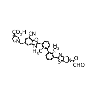 Cc1c(-c2nc3cc(CN4CC[C@@H](C(=O)O)C4)cc(C#N)c3o2)cccc1-c1cccc(-c2nc3c(s2)CN(C(=O)C=O)C3)c1C